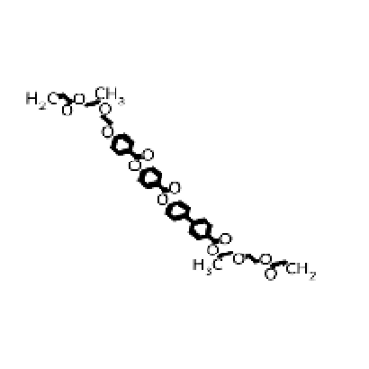 C=CC(=O)OCCOCC(C)OC(=O)c1ccc(-c2ccc(OC(=O)c3ccc(OC(=O)c4ccc(OCCOC(C)COC(=O)C=C)cc4)cc3)cc2)cc1